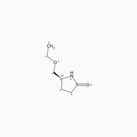 CCOC[C@@H]1CCC(=O)N1